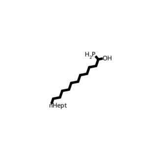 CCCCCCCCCCCCCCCCCC(O)P